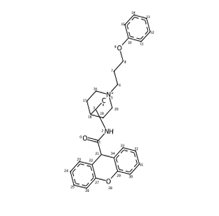 O=C(NC1C[N+]2(CCCOc3ccccc3)CCC1CC2)C1c2ccccc2Oc2ccccc21